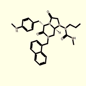 CCCN(C(=O)NC)N1CC(=O)N2[C@@H](Cc3ccc(NC)cc3)C(=O)N(Cc3cccc4ccccc34)C[C@@H]21